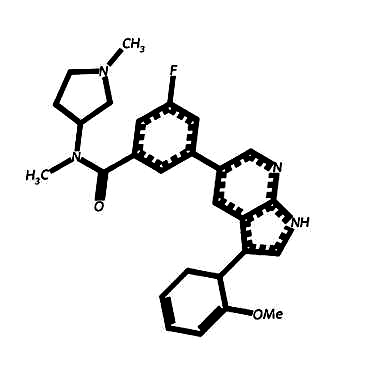 COC1=CC=CCC1c1c[nH]c2ncc(-c3cc(F)cc(C(=O)N(C)C4CCN(C)C4)c3)cc12